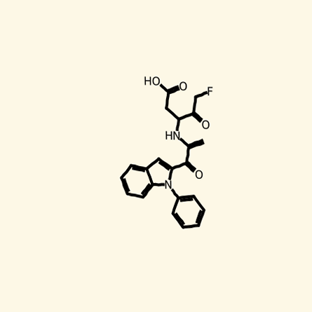 C=C(NC(CC(=O)O)C(=O)CF)C(=O)c1cc2ccccc2n1-c1ccccc1